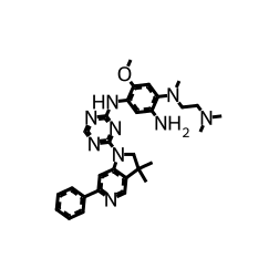 COc1cc(N(C)CCN(C)C)c(N)cc1Nc1ncnc(N2CC(C)(C)c3cnc(-c4ccccc4)cc32)n1